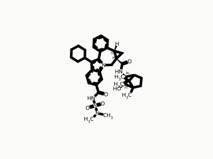 CN(C)S(=O)(=O)NC(=O)c1ccc2c(C3CCCCC3)c3n(c2c1)C[C@@]1(C(=O)N[C@@H]2C4CCC(C)([C@@H]2O)C4(C)C)C[C@H]1c1ccccc1-3